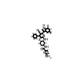 N#Cc1c(-c2c[nH]c3c(F)cc(F)cc23)nc(N[C@H]2CCC[C@@H](NC(=O)c3csc(N)n3)C2)c(F)c1-c1ccccc1